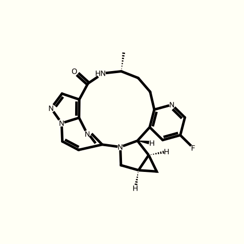 C[C@@H]1CCc2ncc(F)cc2[C@@H]2[C@H]3C[C@H]3CN2c2ccn3ncc(c3n2)C(=O)N1